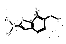 CC(C)Oc1ccc2cc(B(O)O)sc2c1C#N